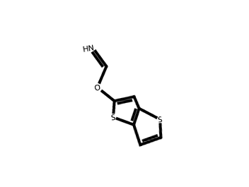 N=COc1cc2sccc2s1